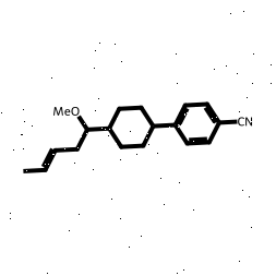 CC=CCC(OC)C1CCC(c2ccc(C#N)cc2)CC1